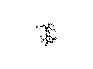 N/N=C(\N)N(N)N.O=C1NC(=O)C([N+](=O)[O-])C(=O)N1